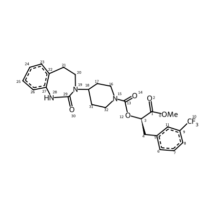 COC(=O)[C@@H](Cc1cccc(C(F)(F)F)c1)OC(=O)N1CCC(N2CCc3ccccc3NC2=O)CC1